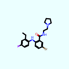 CCc1cc(I)ccc1Nc1ccc(Br)cc1C(=O)NCCN1CCCC1